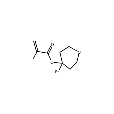 C=C(C)C(=O)OC1(CC)CCOCC1